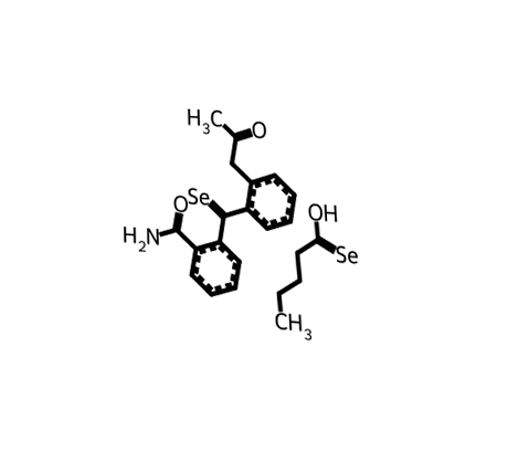 CC(=O)Cc1ccccc1C(=[Se])c1ccccc1C(N)=O.CCCCC(O)=[Se]